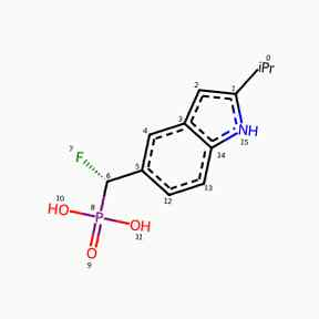 CC(C)c1cc2cc([C@@H](F)P(=O)(O)O)ccc2[nH]1